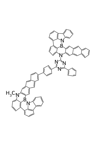 CN1c2cc3cc4ccc(-c5ccc(-c6nc(-c7ccccc7)nc(N7c8cc9cc%10ccccc%10cc9cc8B8c9c(cccc97)-c7cccc9c%10ccccc%10n8c79)n6)cc5)cc4cc3cc2B2c3c(cccc31)-c1cccc3c4ccccc4n2c13